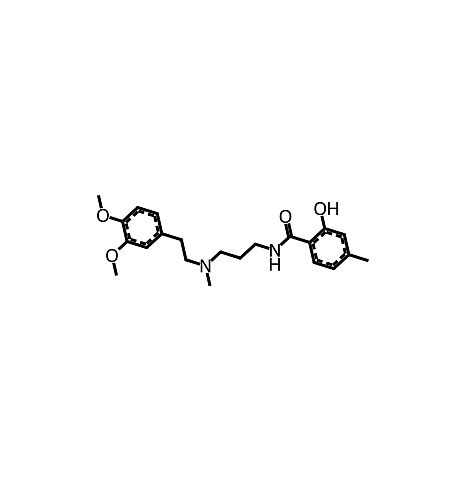 COc1ccc(CCN(C)CCCNC(=O)c2ccc(C)cc2O)cc1OC